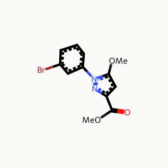 COC(=O)c1cc(OC)n(-c2cccc(Br)c2)n1